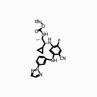 C[C@H](NC(=O)OC(C)(C)C)[C@H](Nc1cc(Nc2cccc(-n3nccn3)c2)c(C#N)cc1F)C1CC1